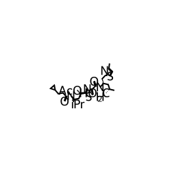 CC(=O)O[C@H](CC(C(C)C)N(C)C(=O)CCC1CC1)c1nc(C(=O)N[C@@H](Cc2nc(C)cs2)C[C@H](C)C(=O)O)cs1